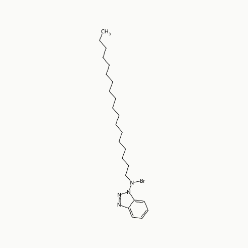 CCCCCCCCCCCCCCCCCCN(Br)n1nnc2ccccc21